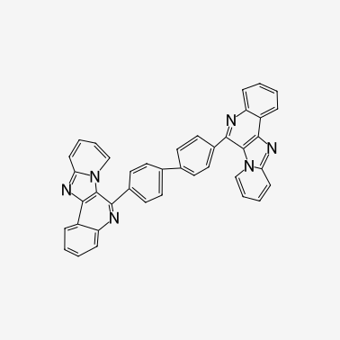 c1ccc2c(c1)nc(-c1ccc(-c3ccc(-c4nc5ccccc5c5nc6ccccn6c45)cc3)cc1)c1c2nc2ccccn21